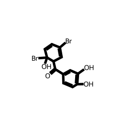 O=C(c1ccc(O)c(O)c1)C1C=C(Br)C=CC1(O)Br